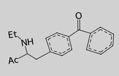 CCNC(Cc1ccc(C(=O)c2ccccc2)cc1)C(C)=O